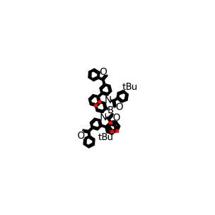 CC(C)(C)c1ccc2oc3c(c2c1)N(c1ccc(-c2coc4ccccc24)cc1-c1ccccc1)c1cccc2c1B3c1oc3ccc(C(C)(C)C)cc3c1N2c1ccc(-c2coc3ccccc23)cc1-c1ccccc1